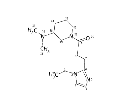 CCn1ccnc1CCC(=O)N1CCCC(N(C)C)C1